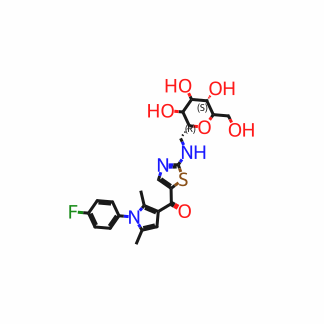 Cc1cc(C(=O)c2cnc(NC[C@H]3OC(CO)[C@@H](O)C(O)C3O)s2)c(C)n1-c1ccc(F)cc1